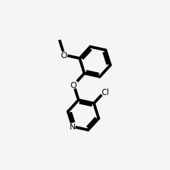 COc1ccccc1Oc1cnccc1Cl